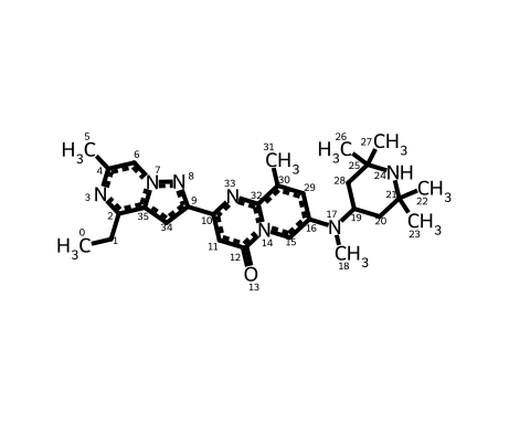 CCc1nc(C)cn2nc(-c3cc(=O)n4cc(N(C)C5CC(C)(C)NC(C)(C)C5)cc(C)c4n3)cc12